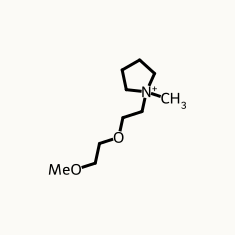 COCCOCC[N+]1(C)CCCC1